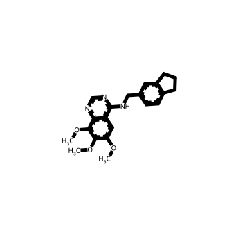 COc1cc2c(NCc3ccc4c(c3)CCC4)ncnc2c(OC)c1OC